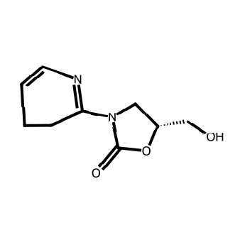 O=C1O[C@@H](CO)CN1C1=NC=CCC1